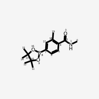 CNC(=O)c1ccc(B2OC(C)(C)C(C)(C)O2)cc1C